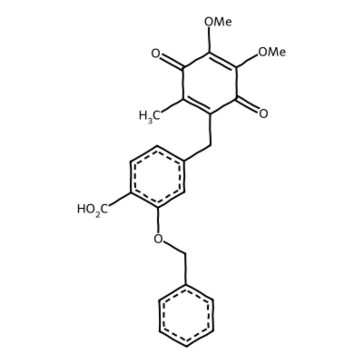 COC1=C(OC)C(=O)C(Cc2ccc(C(=O)O)c(OCc3ccccc3)c2)=C(C)C1=O